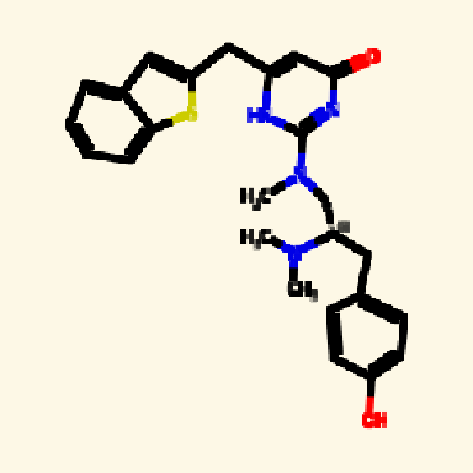 CN(C[C@H](Cc1ccc(O)cc1)N(C)C)c1nc(=O)cc(Cc2cc3ccccc3s2)[nH]1